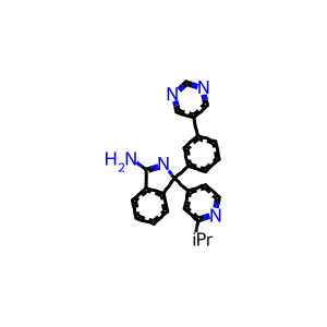 CC(C)c1cc(C2(c3cccc(-c4cncnc4)c3)N=C(N)c3ccccc32)ccn1